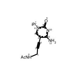 CC(=O)NCC#Cc1cn(C(C)C)c(=O)nc1N